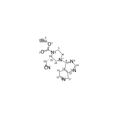 CC(C)(C)OC(=O)N1CCN(c2ncnc3c2CC=NC3)C[C@@H]1CC#N